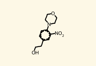 O=[N+]([O-])c1cc(CCO)ccc1N1CCOCC1